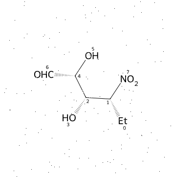 CC[C@H]([C@H](O)[C@@H](O)C=O)[N+](=O)[O-]